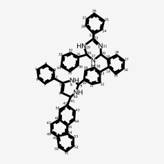 C1=C(c2ccccc2)NC(c2ccc(-c3ccccc3C3N=C(c4ccccc4)NC(c4ccccc4)N3)cc2)NC1c1ccc2c(ccc3ccccc32)c1